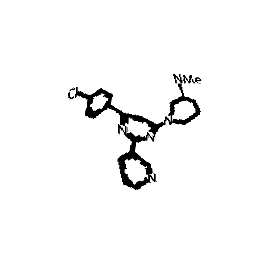 CN[C@H]1CCCN(c2cc(-c3ccc(Cl)cc3)nc(-c3cccnc3)n2)C1